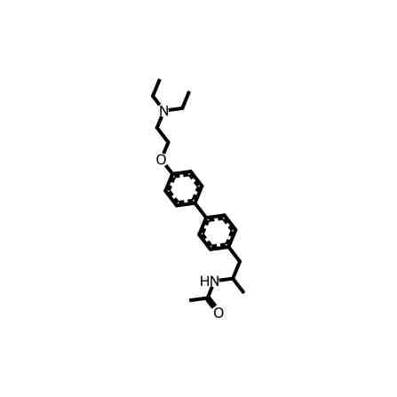 CCN(CC)CCOc1ccc(-c2ccc(CC(C)NC(C)=O)cc2)cc1